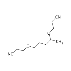 CC(CCCOCCC#N)OCCC#N